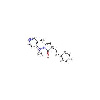 Cc1cnccc1N(C)N1CCC(CCc2ccccc2)C1=O